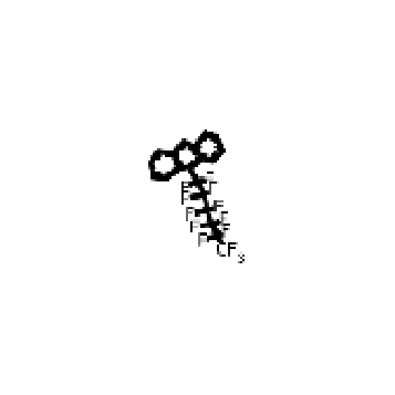 FC(F)(F)C(F)(F)C(F)(F)C(F)(F)C(F)(F)C(F)(F)c1c2ccccc2cc2ccccc12